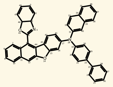 C1=CC2N=C(c3c4ccccc4cc4oc5cc(N(c6ccc(-c7ccccc7)cc6)c6ccc7ccccc7c6)ccc5c34)OC2C=C1